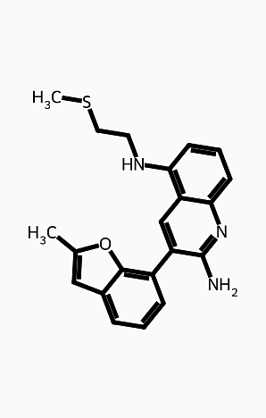 CSCCNc1cccc2nc(N)c(-c3cccc4cc(C)oc34)cc12